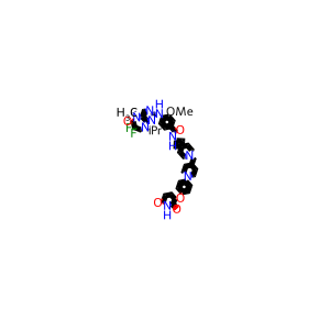 COc1cc(C(=O)NC2CC3(CCN(CC4CCN(c5ccc(OC6CCC(=O)NC6=O)cc5)CC4)CC3)C2)ccc1Nc1ncc2c(n1)N(C(C)C)CC(F)(F)C(=O)N2C